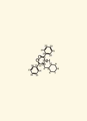 O=C(NN(CC1CCCCC1)C(=O)c1ccccc1)c1ccccc1